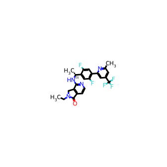 CCN1Cc2c(ccnc2N[C@@H](C)c2cc(F)c(-c3cc(C(F)(F)F)cc(C)n3)cc2F)C1=O